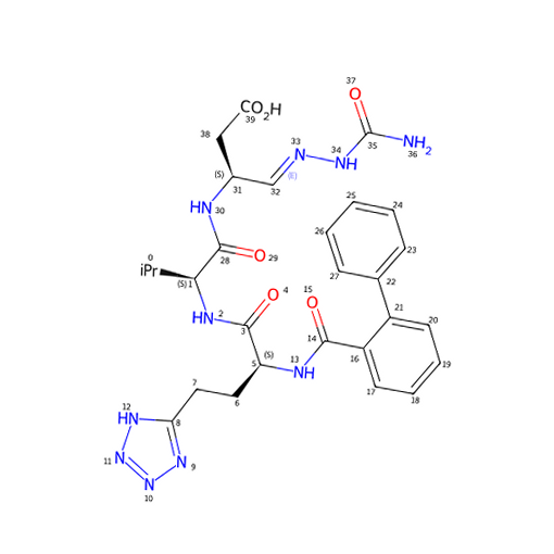 CC(C)[C@H](NC(=O)[C@H](CCc1nnn[nH]1)NC(=O)c1ccccc1-c1ccccc1)C(=O)N[C@H](/C=N/NC(N)=O)CC(=O)O